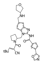 CC(C)(C)C=C(C#N)C(=O)N1CCCC1Cn1c(NC(=O)c2ccc(-c3cnco3)s2)nc2cc(CNC3CCOC3)ccc21